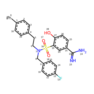 CC(C)c1ccc(CCN(Cc2ccc(F)cc2)S(=O)(=O)c2cc(C(=N)N)ccc2O)cc1